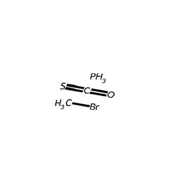 CBr.O=C=S.P